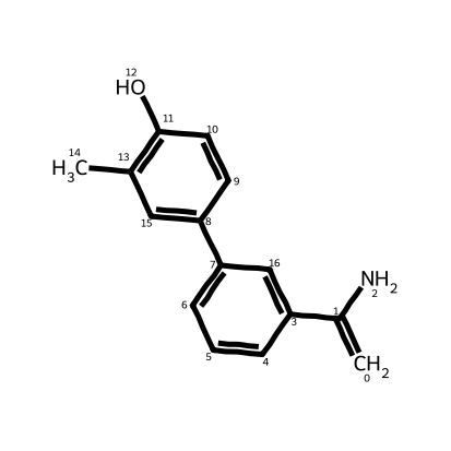 C=C(N)c1cccc(-c2ccc(O)c(C)c2)c1